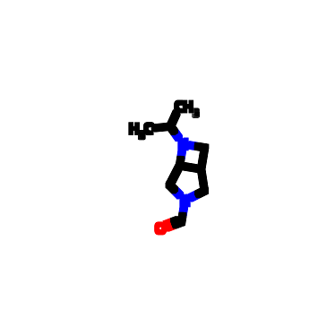 CC(C)N1CC2CN(C=O)CC21